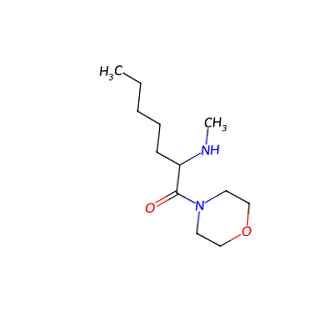 CCCCCC(NC)C(=O)N1CCOCC1